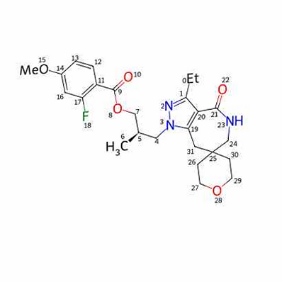 CCc1nn(C[C@@H](C)COC(=O)c2ccc(OC)cc2F)c2c1C(=O)NCC1(CCOCC1)C2